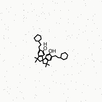 CC1(C)CC2(CC(C)(C)c3cc(CCC4CCCCC4)c(O)cc32)c2cc(O)c(CCC3CCCCC3)cc21